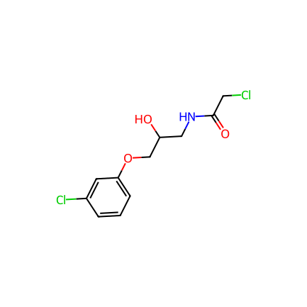 O=C(CCl)NCC(O)COc1cccc(Cl)c1